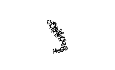 CCN1CCc2ncc(-n3ccn(C4CCC(OCC(=O)OC)CC4)c3=O)nc2CC1